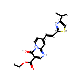 CCOC(=O)c1cnc2cc(C=Cc3nc(C(C)C)cs3)ccn2c1=O